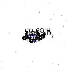 C/C=C/CC1(C)\C(=C/C=C(C#N)/C=C/C2=[N+](CCC(=O)O)c3ccccc3C2(CCCCCC)Cc2ccccn2)N(CCC(=O)O)c2c1ccc1ccc([N+](=O)[O-])cc21